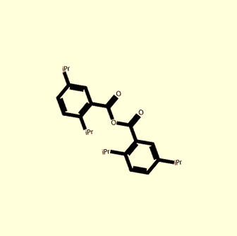 CC(C)c1ccc(C(C)C)c(C(=O)OC(=O)c2cc(C(C)C)ccc2C(C)C)c1